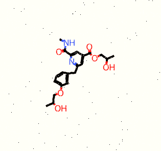 CNC(=O)c1cc(C(=O)OCC(C)O)cc(Cc2cccc(OCC(C)O)c2)n1